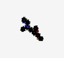 c1ccc(-c2cc(-c3ccc(-c4ccc(-c5ccc6c(c5)sc5ccccc56)c5oc6ccccc6c45)cc3)nc(-c3cccc(-c4ccccn4)c3)n2)cc1